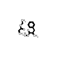 C=C(Cc1ccccc1)C(=O)OC.C=CC(=O)OCC